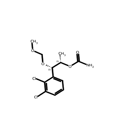 COCO[C@@H](c1cccc(Cl)c1Cl)[C@H](C)OC(N)=O